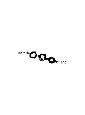 CCCCCc1ccc(-c2ccc([C@H]3CC[C@H](CCCCC)CC3)nn2)cc1